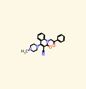 CN1CCN(c2c(C#N)c(=O)n(CC(=O)c3ccccc3)c3ccccc23)CC1